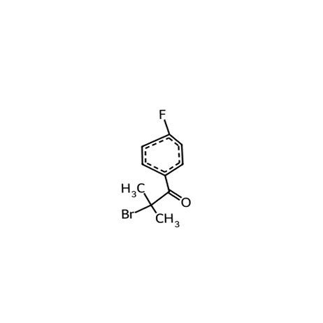 CC(C)(Br)C(=O)c1ccc(F)cc1